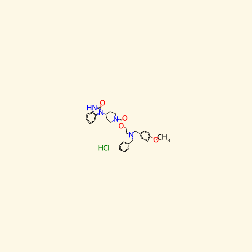 COc1ccc(CN(CCOC(=O)N2CCC(n3c(=O)[nH]c4ccccc43)CC2)Cc2ccccc2)cc1.Cl